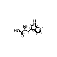 N[C@@H](Cc1c[nH]c2sccc12)C(=O)O